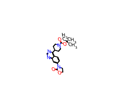 CC(C)(C)OC(=O)N1CCC(c2ncnc3cc(N4CCOC4=O)ccc23)CC1